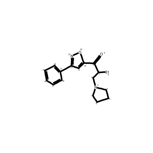 CCC(CN1CCCC1)C(=O)c1cc(-c2ccccc2)no1